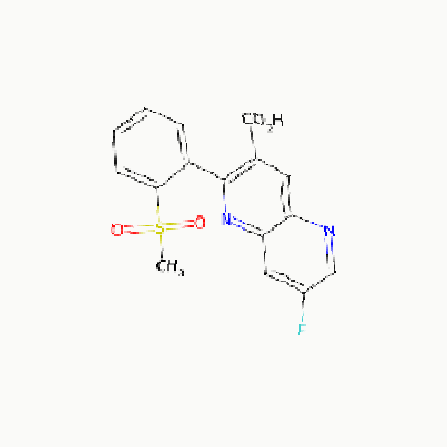 CS(=O)(=O)c1ccccc1-c1nc2cc(F)cnc2cc1C(=O)O